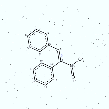 O=[N+]([O-])/C(=C/c1ccccc1)c1ccccc1